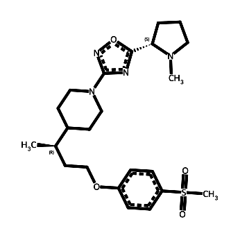 C[C@H](CCOc1ccc(S(C)(=O)=O)cc1)C1CCN(c2noc([C@@H]3CCCN3C)n2)CC1